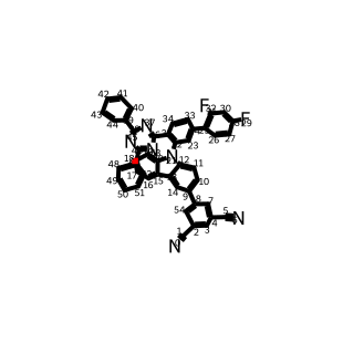 N#Cc1cc(C#N)cc(-c2ccc3c(c2)c2ccccc2n3-c2cc(-c3ccc(F)cc3F)ccc2-c2nc(-c3ccccc3)nc(-c3ccccc3)n2)c1